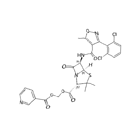 Cc1onc(-c2c(Cl)cccc2Cl)c1C(=O)N[C@@H]1C(=O)N2[C@@H]1SC(C)(C)[C@@H]2C(=O)OCOC(=O)c1cccnc1